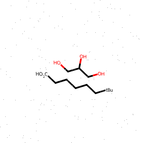 CC(C)(C)CCCCCC(=O)O.OCC(O)CO